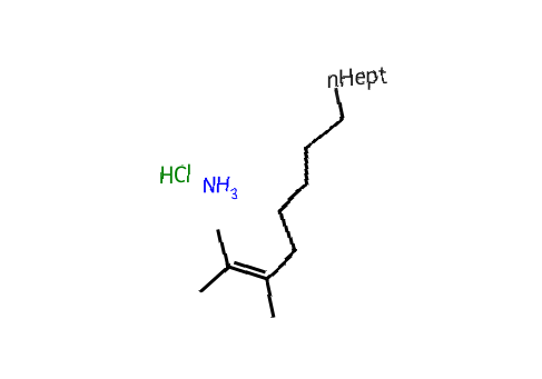 CCCCCCCCCCCCC(C)=C(C)C.Cl.N